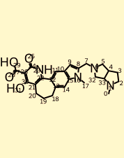 CN1CCC2CN(Cc3cc4cc5c(cc4n3C)CCCc3c-5[nH]c(=O)c(C(=O)O)c3O)CC21